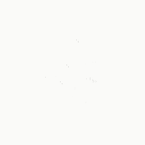 Cl.O=C1C(c2ccccn2)=CN2CC(=O)N(Cc3cccc(Cl)c3F)C=C2C1O